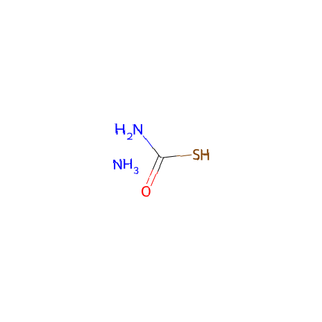 N.NC(=O)S